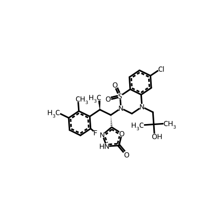 Cc1ccc(F)c([C@@H](C)[C@@H](c2n[nH]c(=O)o2)N2CN(CC(C)(C)O)c3cc(Cl)ccc3S2(=O)=O)c1C